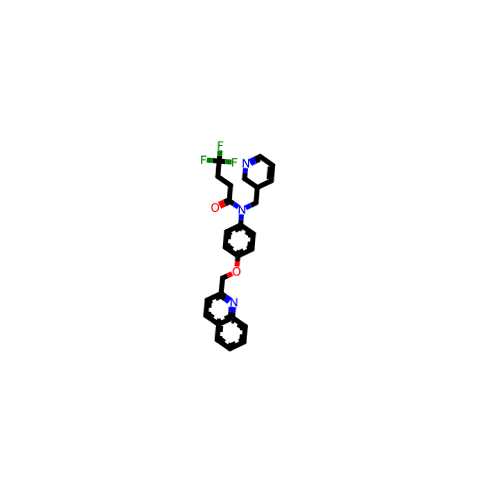 O=C(CCC(F)(F)F)N(CC1C=CC=NC1)c1ccc(OCc2ccc3ccccc3n2)cc1